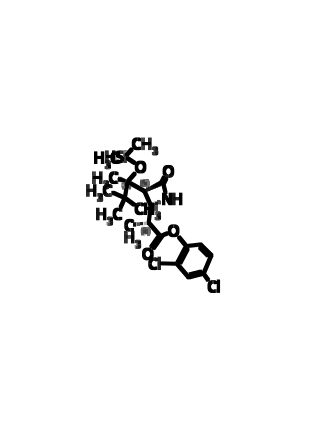 C[C@@H](C(=O)Oc1ccc(Cl)cc1Cl)[C@H]1NC(=O)[C@@H]1[C@@](C)(O[SiH](C)C)C(C)(C)C